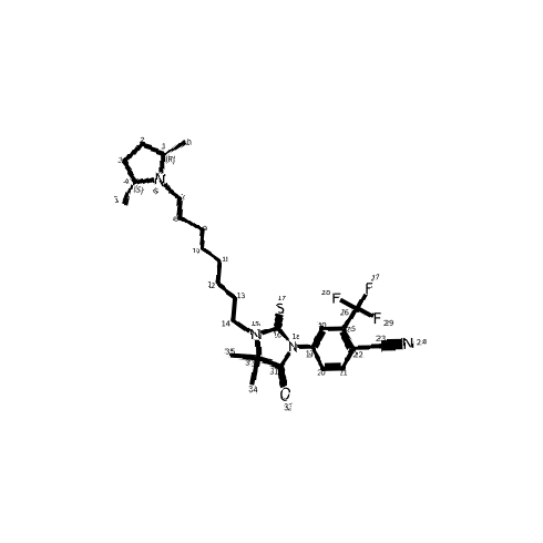 C[C@@H]1CC[C@H](C)N1CCCCCCCCN1C(=S)N(c2ccc(C#N)c(C(F)(F)F)c2)C(=O)C1(C)C